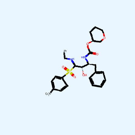 CC(C)CNC([C@@H](O)[C@H](Cc1ccccc1)NC(=O)O[C@H]1CCCOC1)S(=O)(=O)c1ccc([N+](=O)[O-])cc1